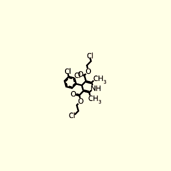 CC1=C(C(=O)OCCCl)C(c2cccc(Cl)c2Cl)C(C(=O)OCCCl)=C(C)N1